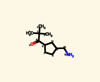 CC(C)(C)C(=O)C1CCC(CN)C1